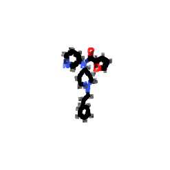 O=C(c1ccco1)N(c1cccnc1)C1CCN(CCc2ccccc2)CC1